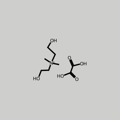 C[N+](C)(CCO)CCO.O=C(O)C(=O)O